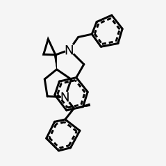 C[C@@H](c1ccccc1)N1CC[C@@H](C2(N(Cc3ccccc3)Cc3ccccc3)CC2)C1